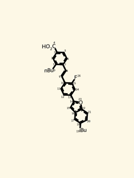 CCCCc1cc(C(=O)O)ccc1C=Cc1ccc(-c2cc3cc(C(C)CC)ccc3o2)cc1F